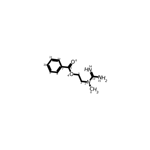 CN(CCOC(=O)c1ccccc1)C(=N)N